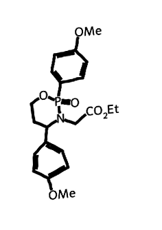 CCOC(=O)CN1C(c2ccc(OC)cc2)CCOP1(=O)c1ccc(OC)cc1